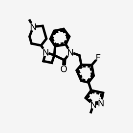 CN1CCC(N2CCC23C(=O)N(Cc2ccc(-c4cnn(C)c4)cc2F)c2ccccc23)CC1